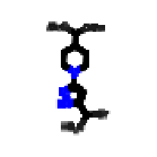 COC(OC)C1CCN(c2cc(C(C(=O)O)C(C)C)[nH]n2)CC1